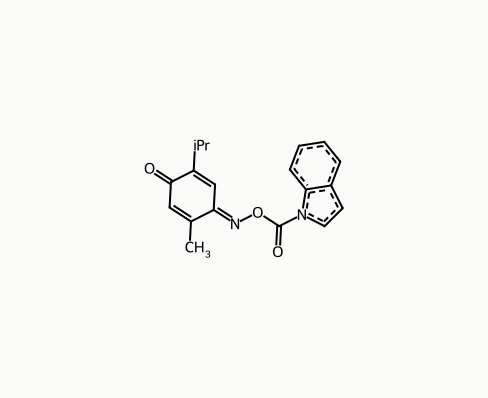 CC1=CC(=O)C(C(C)C)=C/C1=N\OC(=O)n1ccc2ccccc21